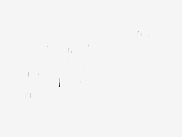 CC(=O)N([C@@H](Cc1c[nH]c2ccccc12)C(=O)O)N1C(=O)CC(Cc2ccc(C=NN)cc2)C1=O